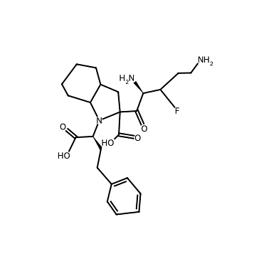 NCCC(F)[C@H](N)C(=O)C1(C(=O)O)CC2CCCCC2N1[C@@H](CCc1ccccc1)C(=O)O